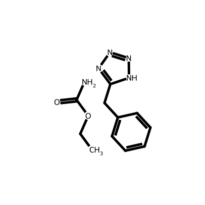 CCOC(N)=O.c1ccc(Cc2nnn[nH]2)cc1